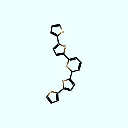 C1=CC(c2ccc(-c3cccs3)s2)SC(c2ccc(-c3cccs3)s2)=C1